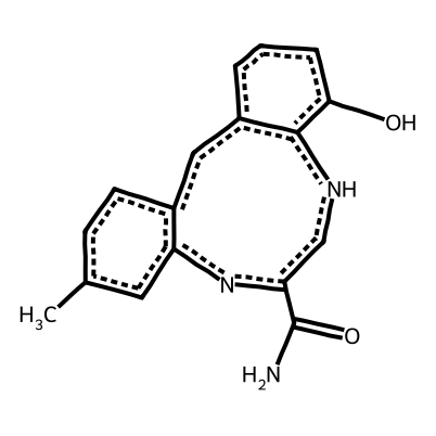 Cc1ccc2cc3cccc(O)c3[nH]cc(C(N)=O)nc2c1